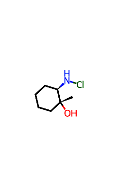 C[C@@]1(O)CCCC[C@H]1NCl